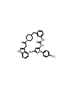 Cc1ccc(-n2nc(C(C)(C)C)cc2NC(=O)Nc2cccc(CC3CCN(C(=O)Cc4c[nH]c5ccccc45)CC3)c2)cc1